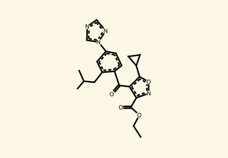 CCOC(=O)c1noc(C2CC2)c1C(=O)c1ccc(-n2cncn2)cc1CC(C)C